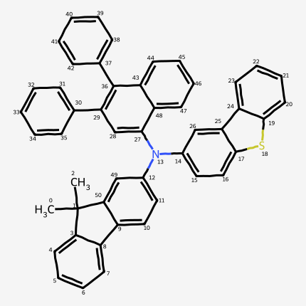 CC1(C)c2ccccc2-c2ccc(N(c3ccc4sc5ccccc5c4c3)c3cc(-c4ccccc4)c(-c4ccccc4)c4ccccc34)cc21